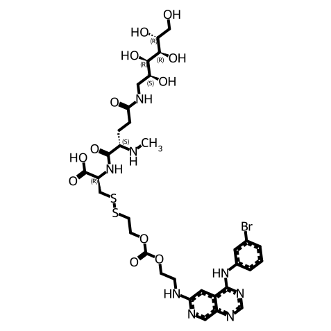 CN[C@@H](CCC(=O)NC[C@H](O)[C@@H](O)[C@H](O)[C@H](O)CO)C(=O)N[C@@H](CSSCCOC(=O)OCCNc1cc2c(Nc3cccc(Br)c3)ncnc2cn1)C(=O)O